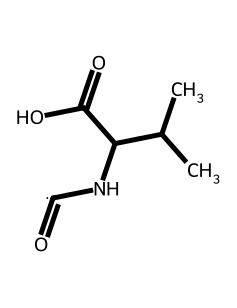 CC(C)C(N[C]=O)C(=O)O